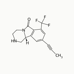 CC#Cc1cc2c(c(C(F)(F)F)c1)C(=O)N1CCNC[C@@H]21